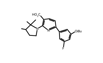 CC(C)COc1cc(F)cc(-c2ccc(C(=O)O)c(N3CCC(C)C3(C)C)n2)c1